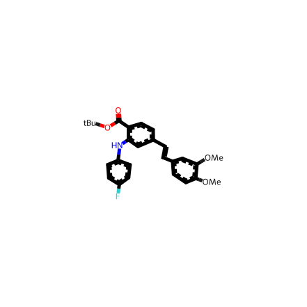 COc1ccc(C=Cc2ccc(C(=O)OC(C)(C)C)c(Nc3ccc(F)cc3)c2)cc1OC